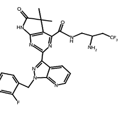 CC1(C)C(=O)Nc2nc(-c3nn(Cc4ccccc4F)c4ncccc34)nc(C(=O)NCC(N)CC(F)(F)F)c21